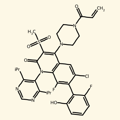 C=CC(=O)N1CCN(c2c(S(C)(=O)=O)c(=O)n(-c3c(C(C)C)ncnc3C(C)C)c3c(F)c(-c4c(O)cccc4F)c(Cl)cc23)CC1